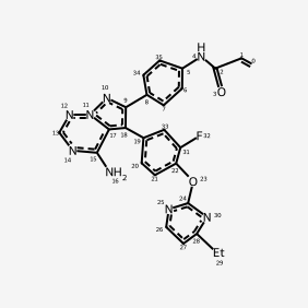 C=CC(=O)Nc1ccc(-c2nn3ncnc(N)c3c2-c2ccc(Oc3nccc(CC)n3)c(F)c2)cc1